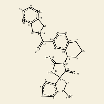 CC(C)CC[C@]1(c2ccccc2)NC(=N)N([C@@H]2CCCc3ccc(C(=O)N4Cc5nccnc5C4)cc32)C1=O